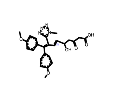 COc1ccc(C(=C(/C=C/C(O)CC(=O)CC(=O)O)c2nnnn2C)c2ccc(OC)cc2)cc1